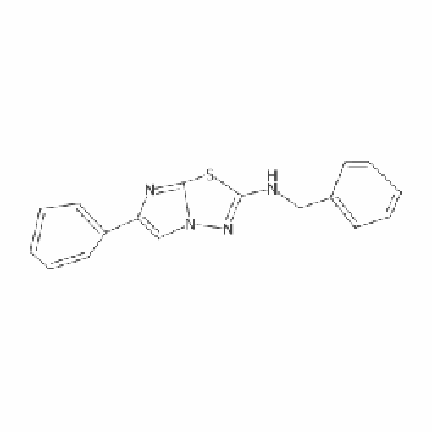 c1ccc(CNc2nn3cc(-c4ccccc4)nc3s2)cc1